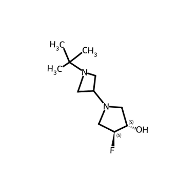 CC(C)(C)N1CC(N2C[C@H](O)[C@@H](F)C2)C1